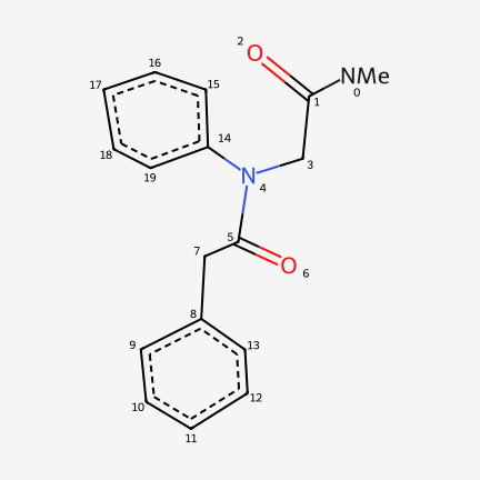 CNC(=O)CN(C(=O)Cc1ccccc1)c1ccccc1